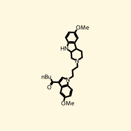 CCCCC(=O)c1cn(CCCN2CCC3c4cc(OC)ccc4NC3C2)c2ccc(OC)cc12